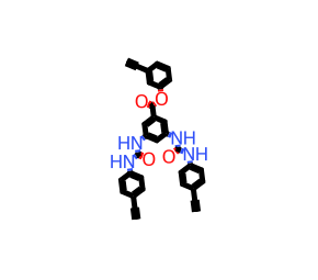 C#Cc1ccc(NC(=O)Nc2cc(NC(=O)Nc3ccc(C#C)cc3)cc(C(=O)Oc3cccc(C#C)c3)c2)cc1